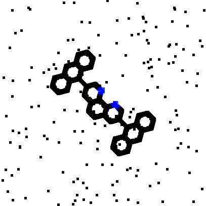 c1ccc2c(-c3cnc4c(ccc5cc(-c6c7ccccc7cc7ccccc67)cnc54)c3)c3ccccc3cc2c1